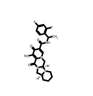 CC(NC(=O)c1cn2c(c(O)c1=O)C(=O)N1C[C@@H]3CCCCN3[C@@H]1C2)c1ccc(F)cc1F